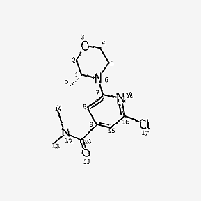 C[C@@H]1COCCN1c1cc(C(=O)N(C)C)cc(Cl)n1